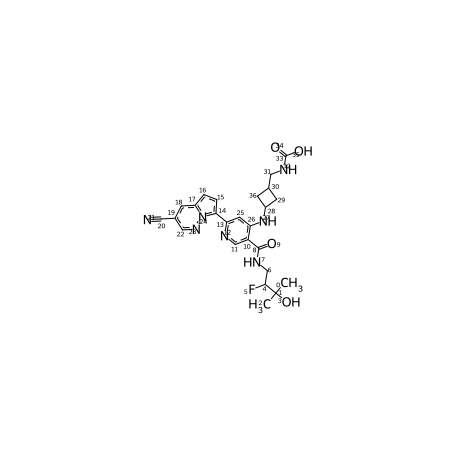 CC(C)(O)C(F)CNC(=O)c1cnc(-c2ccc3cc(C#N)cnn23)cc1NC1CC(CNC(=O)O)C1